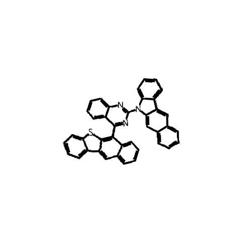 c1ccc2cc3c(cc2c1)c1ccccc1n3-c1nc(-c2c3ccccc3cc3c2sc2ccccc23)c2ccccc2n1